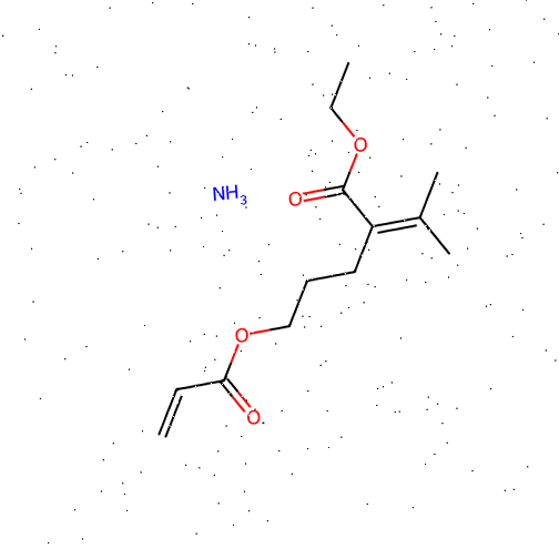 C=CC(=O)OCCCC(C(=O)OCC)=C(C)C.N